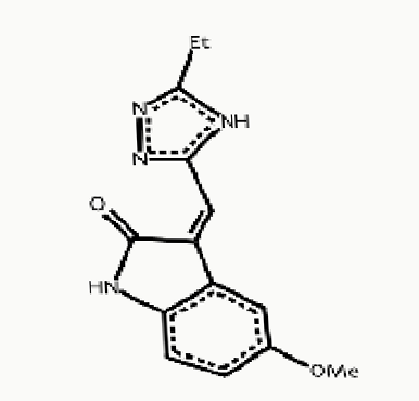 CCc1nnc(C=C2C(=O)Nc3ccc(OC)cc32)[nH]1